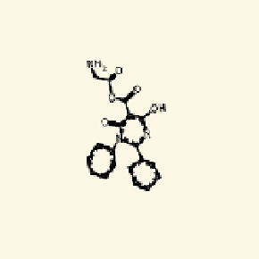 NCC(=O)OC(=O)c1c(O)nc(-c2ccccc2)n(-c2ccccc2)c1=O